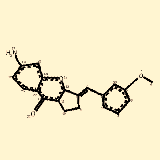 COc1cccc(/C=C2\CCc3c2oc2cc(N)ccc2c3=O)c1